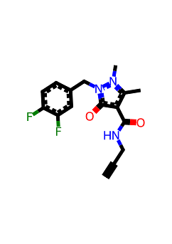 C#CCNC(=O)c1c(C)n(C)n(Cc2ccc(F)c(F)c2)c1=O